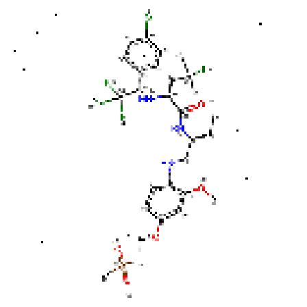 CC[C@@H](CNc1ccc(OCCS(C)(=O)=O)cc1OC)NC(=O)[C@H](CC(C)(C)F)N[C@@H](c1ccc(Br)cc1)C(F)(F)F